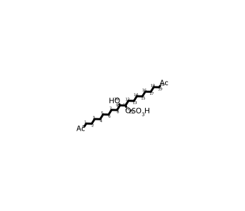 CC(=O)CCCCCCCCC(O)C(CCCCCCCCC(C)=O)OS(=O)(=O)O